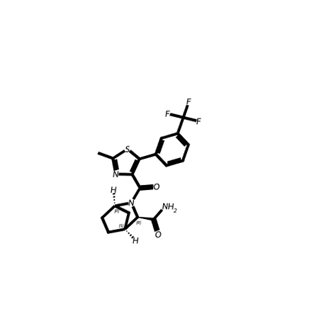 Cc1nc(C(=O)N2[C@@H]3CC[C@@H](C3)[C@@H]2C(N)=O)c(-c2cccc(C(F)(F)F)c2)s1